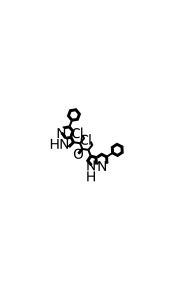 O=C(C(CCl)c1c[nH]c2ncc(-c3ccccc3)cc12)C(CCl)c1c[nH]c2ncc(-c3ccccc3)cc12